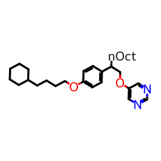 CCCCCCCCC(COc1cncnc1)c1ccc(OCCCCC2CCCCC2)cc1